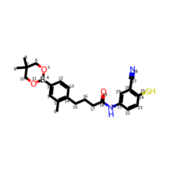 Cc1cc(B2OCC(C)(C)CO2)ccc1CCCC(=O)Nc1ccc(S)c(C#N)c1